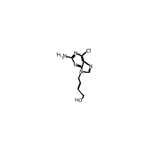 Nc1nc(Cl)c2ncn(CCCCO)c2n1